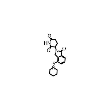 O=C1CCC(N2Cc3c(SN4CCCCC4)cccc3C2=O)C(=O)N1